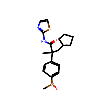 C[S+]([O-])c1ccc(C(C)(CC2CCCC2)C(=O)Nc2nccs2)cc1